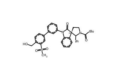 CC(C)C1N(C(=O)C(C)(C)C)CC[C@@]12C(=O)N(c1cccc(-c3ccc(CO)c(S(C)(=O)=O)c3)c1)c1ccccc12